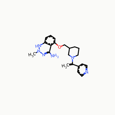 C=C(c1ccncc1)N1CCCC(COc2cccc3c2C(N)=NN(C)N3)C1